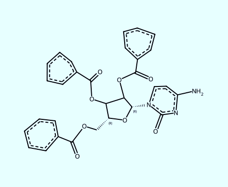 Nc1ccn([C@@H]2O[C@H](COC(=O)c3ccccc3)C(OC(=O)c3ccccc3)C2OC(=O)c2ccccc2)c(=O)n1